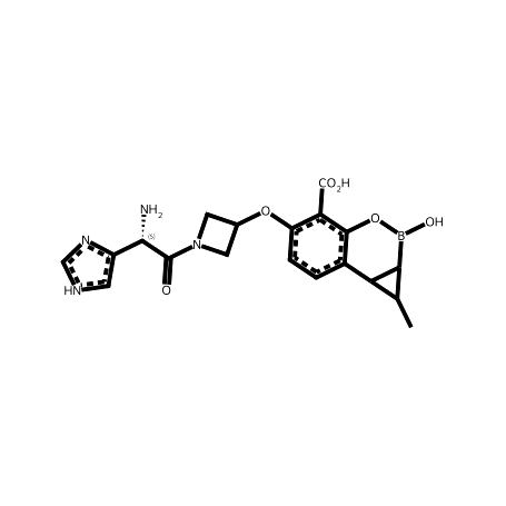 CC1C2B(O)Oc3c(ccc(OC4CN(C(=O)[C@@H](N)c5c[nH]cn5)C4)c3C(=O)O)C12